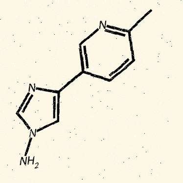 Cc1ccc(-c2cn(N)cn2)cn1